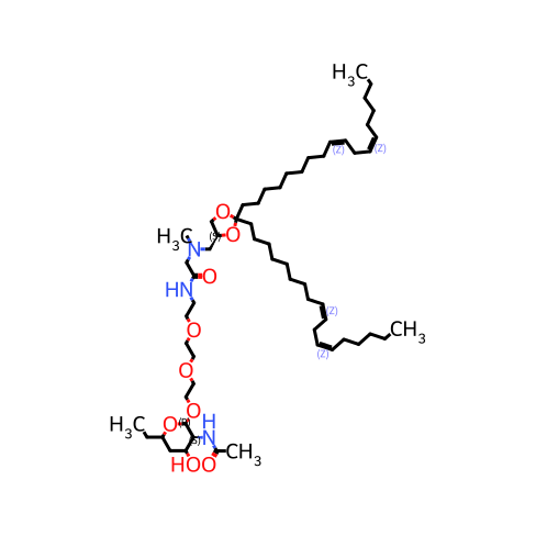 CCCCC/C=C\C/C=C\CCCCCCCCC1(CCCCCCCC/C=C\C/C=C\CCCCC)OC[C@H](CN(C)CC(=O)NCCOCCOCCO[C@@H]2OC(CC)CC(O)[C@@H]2NC(C)=O)O1